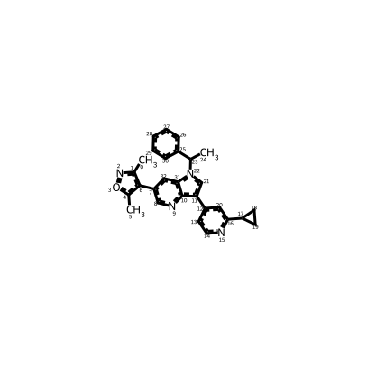 Cc1noc(C)c1-c1cnc2c(-c3ccnc(C4CC4)c3)cn(C(C)c3ccccc3)c2c1